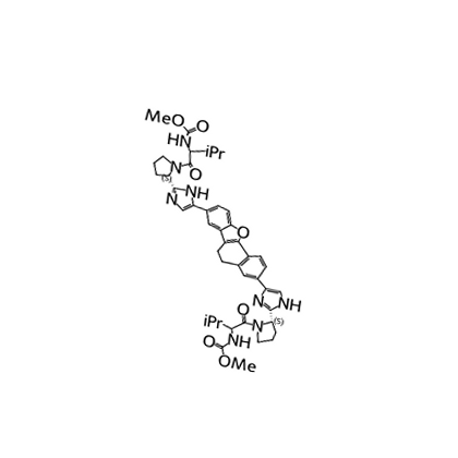 COC(=O)NC(C(=O)N1CCC[C@H]1c1nc(-c2ccc3c(c2)CCc2c-3oc3ccc(-c4cnc([C@@H]5CCCN5C(=O)C(NC(=O)OC)C(C)C)[nH]4)cc23)c[nH]1)C(C)C